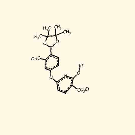 CCOC(=O)c1ccc(Oc2ccc(B3OC(C)(C)C(C)(C)O3)c(C=O)c2)nc1OCC